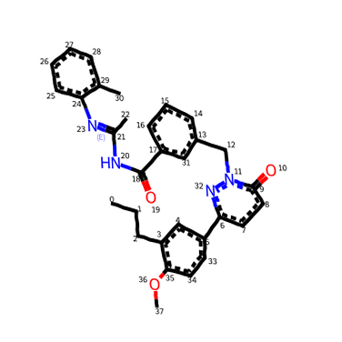 CCCc1cc(-c2ccc(=O)n(Cc3cccc(C(=O)N/C(C)=N/c4ccccc4C)c3)n2)ccc1OC